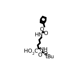 CC(C)(C)OC(=O)N[C@@H](CCCCNC(=O)OCC1CC2C=CC1C2)C(=O)O